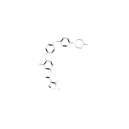 Cc1c(C(=O)Nc2ccc(Nc3ccc(Nc4ccc(N5CCC(O)CC5)cc4)cc3)c(Cl)c2)cnn1C